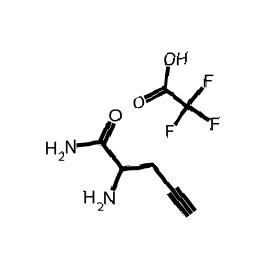 C#CCC(N)C(N)=O.O=C(O)C(F)(F)F